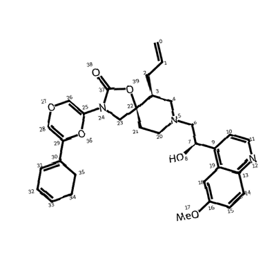 C=CC[C@H]1CN(C[C@H](O)c2ccnc3ccc(OC)cc23)CC[C@]12CN(C1=COC=C(C3=CC=CCC3)O1)C(=O)O2